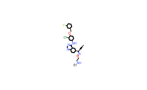 CC#C/C(=N/OCCNCC)c1ccc2ncnc(Nc3ccc(OCc4cccc(F)c4)c(Cl)c3)c2c1